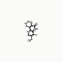 Cc1c(CCl)cnc2c3c(c(=O)[nH]c12)OCCC3